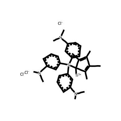 CC1=C(C)[C]([Ti+3])([Si](c2cccc(N(C)C)c2)(c2cccc(N(C)C)c2)c2cccc(N(C)C)c2)C(C)=C1C.[Cl-].[Cl-].[Cl-]